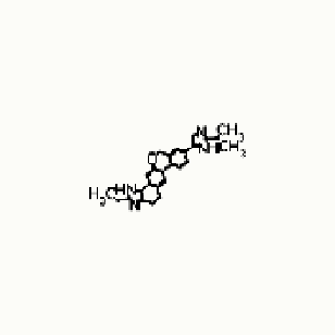 CCc1nc2c([nH]1)-c1cc3c(cc1CC2)-c1ccc(-c2cnc(C(C)C)[nH]2)cc1CO3